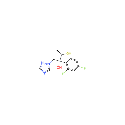 C[C@@H](S)[C@](O)(Cn1cncn1)c1ccc(F)cc1F